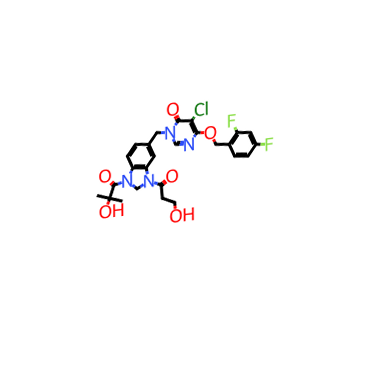 CC(C)(O)C(=O)N1CN(C(=O)CCO)c2cc(Cn3cnc(OCc4ccc(F)cc4F)c(Cl)c3=O)ccc21